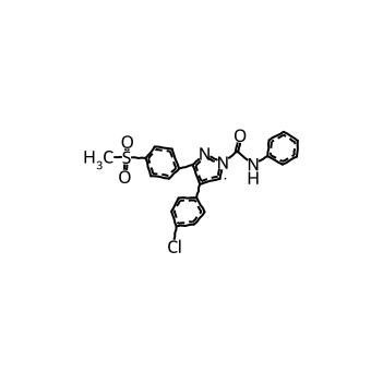 CS(=O)(=O)c1ccc(-c2nn(C(=O)Nc3ccccc3)[c]c2-c2ccc(Cl)cc2)cc1